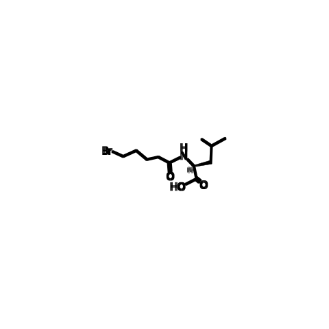 CC(C)C[C@H](NC(=O)CCCCBr)C(=O)O